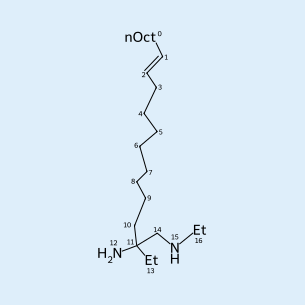 CCCCCCCCC=CCCCCCCCCC(N)(CC)CNCC